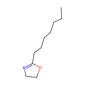 CCCCCCCC1=NCCO1